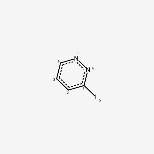 Ic1cc[c]nn1